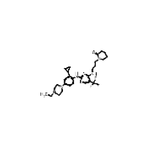 CCN1CCN(c2ccc(Nc3ncc(C(F)(F)F)c(NCCCN4CCCCC4=O)n3)c(C3CC3)c2)CC1